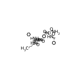 CCCCCCNC(=O)[C@H](CNC(=O)c1ccc(C(=O)N2C[C@@H](C(N)=O)[C@H](C(=O)N[C@H]3C[C@@H]3c3ccccc3)C2)cc1)NC(=O)N[C@H]1C[C@@H]1c1ccccc1